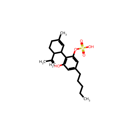 C=C(C)C1CCC(C)=CC1c1c(O)cc(CCCCC)cc1OS(=O)(=O)O